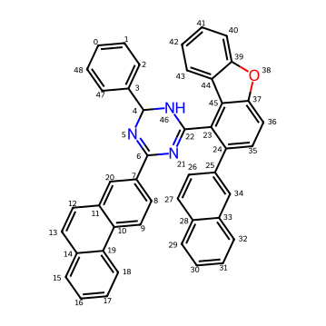 c1ccc(C2N=C(c3ccc4c(ccc5ccccc54)c3)N=C(c3c(-c4ccc5ccccc5c4)ccc4oc5ccccc5c34)N2)cc1